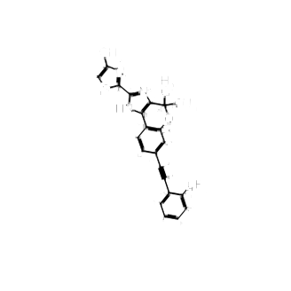 Cc1csc(-c2nc3c([nH]2)-c2ccc(C#Cc4ccccc4C(F)(F)F)cc2OC3(C)C)n1